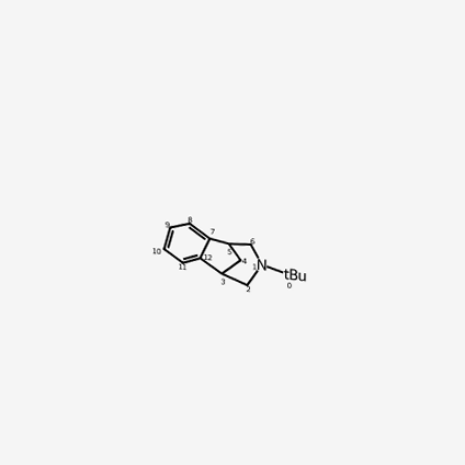 CC(C)(C)N1CC2CC(C1)c1ccccc12